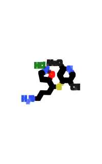 COc1cc(SC(CCCN)c2ccno2)c(C#N)cn1.Cl